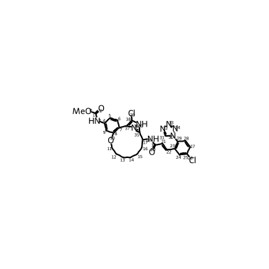 COC(=O)Nc1ccc2c(c1)OCCCCCCC(NC(=O)/C=C/c1cc(Cl)ccc1-n1cnnn1)c1nc-2c(Cl)[nH]1